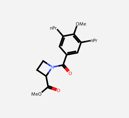 CCCc1cc(C(=O)N2CCC2C(=O)OC)cc(CCC)c1OC